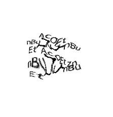 CCCCC(CC)CN(CC(CC)CCCC)C(=O)CC(C)=O.CCCCC(CC)CN(CC(CC)CCCC)C(=O)CC(C)=O.[Zn]